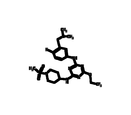 CN(C)Cc1cc(Nc2nc(NC3CCN(S(C)(=O)=O)CC3)nc(OCC(F)(F)F)n2)ccc1F